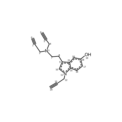 C#CCN(CC#C)CCc1cn(CC#C)c2ccc(O)cc12